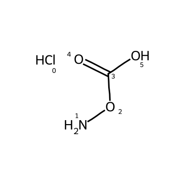 Cl.NOC(=O)O